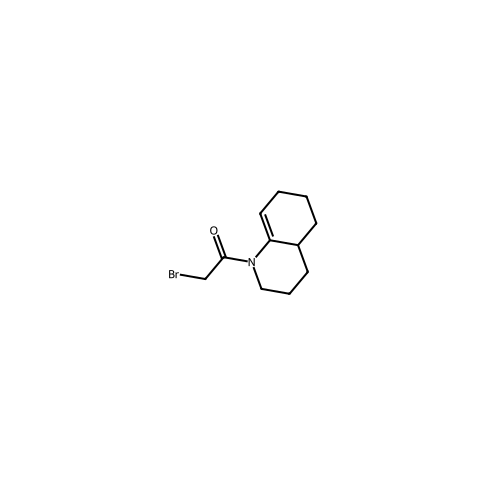 O=C(CBr)N1CCCC2CCCC=C21